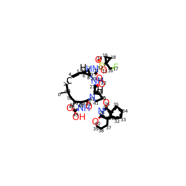 C[C@H]1CCC=C[C@@H]2C[C@@]2(C(=O)NS(=O)(=O)C2(CF)CC2)NC(=O)[C@@H]2C[C@@H](Oc3nc4c(c5ccccc35)CCCO4)CN2C(=O)[C@@H](NC(=O)O)[C@H](C)C1